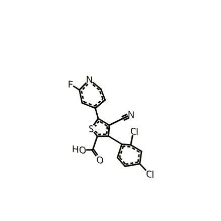 N#Cc1c(-c2ccnc(F)c2)sc(C(=O)O)c1-c1ccc(Cl)cc1Cl